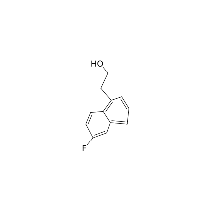 OCCc1cccc2cc(F)ccc12